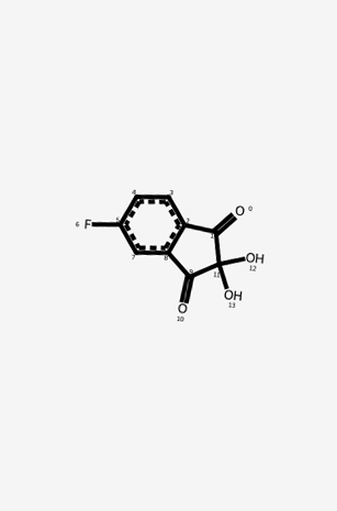 O=C1c2ccc(F)cc2C(=O)C1(O)O